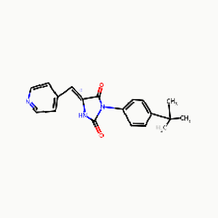 CC(C)(C)c1ccc(N2C(=O)N/C(=C\c3ccncc3)C2=O)cc1